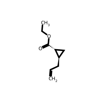 C=CC[C@@H]1C[C@H]1C(=O)OCC